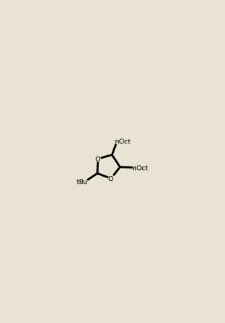 CCCCCCCCC1OC(C(C)(C)C)OC1CCCCCCCC